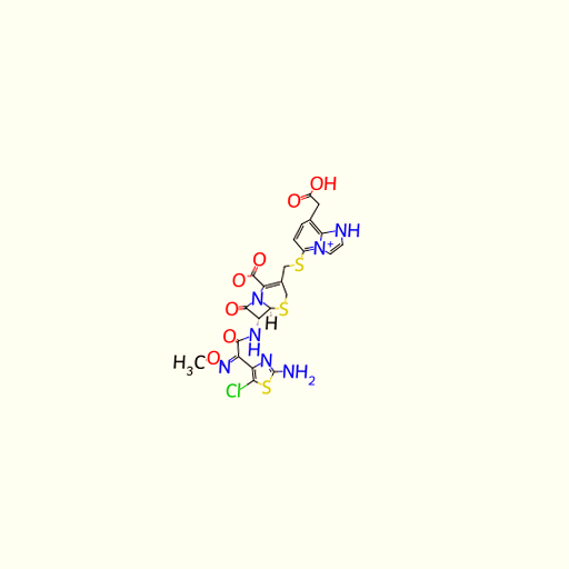 CO/N=C(\C(=O)N[C@@H]1C(=O)N2C(C(=O)[O-])=C(CSc3ccc(CC(=O)O)c4[nH]cc[n+]34)CS[C@@H]12)c1nc(N)sc1Cl